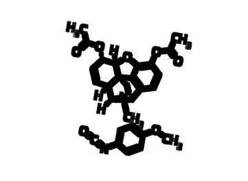 CC(=O)Oc1ccc2c3c1O[C@H]1[C@@H](OC(C)=O)C=C[C@H]4[C@@H](C2)N(C)CC[C@@]341.COc1ccc(N=C=O)cc1